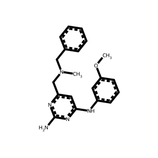 COc1cccc(Nc2cc(CN(C)Cc3ccccc3)nc(N)n2)c1